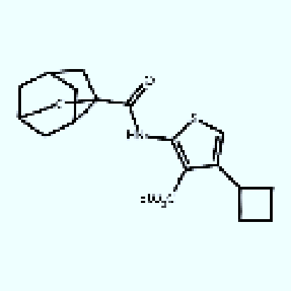 CCOC(=O)c1c(C2CCC2)csc1NC(=O)C12CC3CC(CC1C3)C2